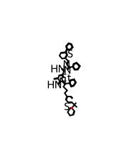 C=C/C(=C\C1=CC(C)(C)C2=C(CCC=C2)S1)CCC/C(=N\C(=N)C(=C)/C=C(\CC)C(=N)/N=C(\N=C\C1=c2sc3ccccc3c2=CCC1)c1ccccc1)c1ccccc1